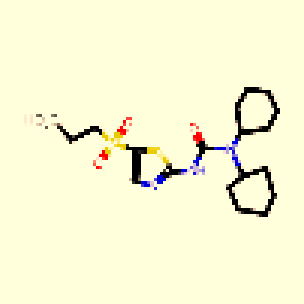 O=C(O)CCS(=O)(=O)c1cnc(NC(=O)N(C2CCCCC2)C2CCCCC2)s1